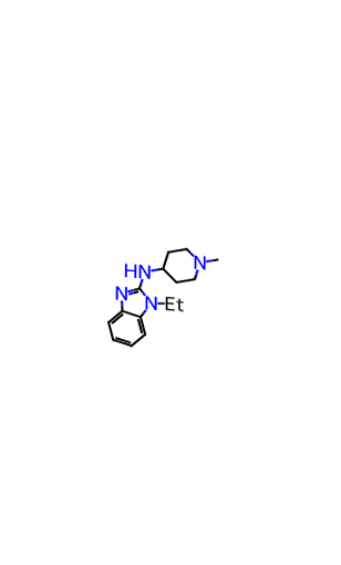 CCn1c(NC2CCN(C)CC2)nc2ccccc21